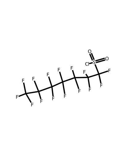 O=S(=O)(Cl)C(F)(F)C(F)(F)C(F)(F)C(F)(F)C(F)(F)C(F)(F)C(F)(F)F